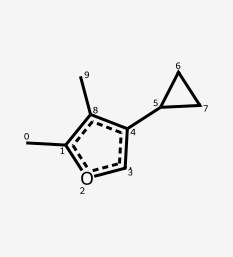 Cc1o[c]c(C2CC2)c1C